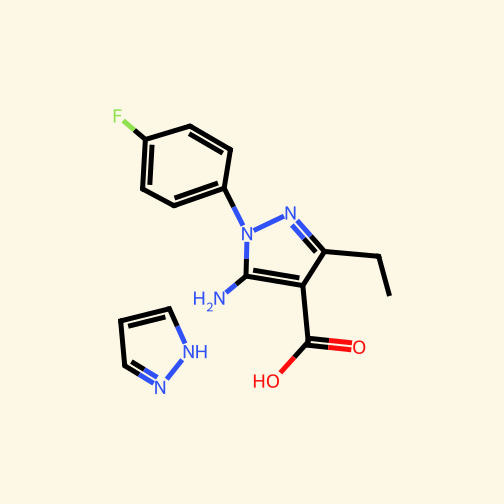 CCc1nn(-c2ccc(F)cc2)c(N)c1C(=O)O.c1cn[nH]c1